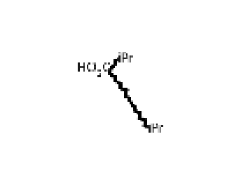 CC(C)CCCCCCCCCCCCCCCC(CCC(C)C)C(=O)O